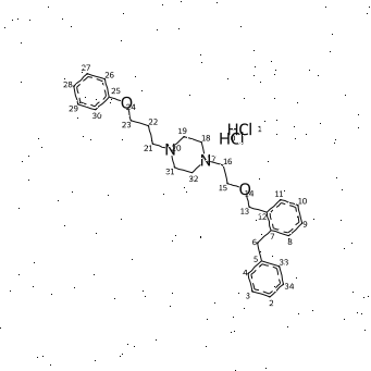 Cl.Cl.c1ccc(Cc2ccccc2COCCN2CCN(CCCOc3ccccc3)CC2)cc1